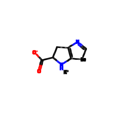 O=C([O-])C1Cc2nc[se]c2N1.[K+]